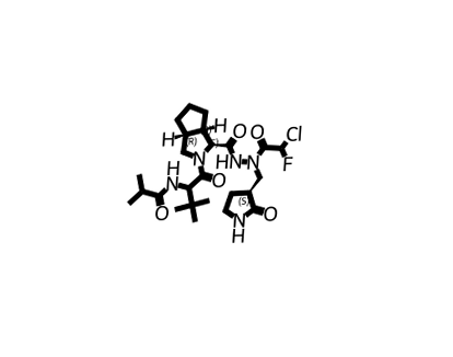 CC(C)C(=O)NC(C(=O)N1C[C@@H]2CCC[C@@H]2[C@H]1C(=O)NN(C[C@@H]1CCNC1=O)C(=O)C(F)Cl)C(C)(C)C